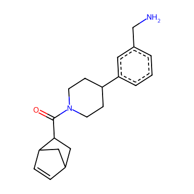 NCc1cccc(C2CCN(C(=O)C3CC4C=CC3C4)CC2)c1